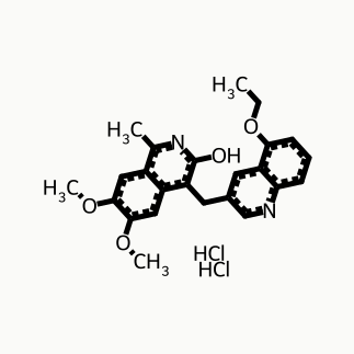 CCOc1cccc2ncc(Cc3c(O)nc(C)c4cc(OC)c(OC)cc34)cc12.Cl.Cl